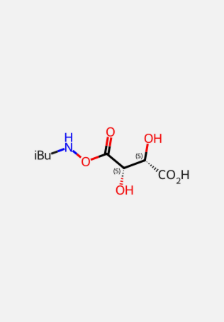 CCC(C)NOC(=O)[C@@H](O)[C@H](O)C(=O)O